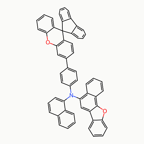 c1ccc2c(c1)Oc1cc(-c3ccc(N(c4cccc5ccccc45)c4cc5c6ccccc6oc5c5ccccc45)cc3)ccc1C21c2ccccc2-c2ccccc21